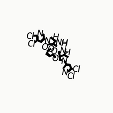 O=C(/C=C\C(=O)O[C@]12CN[C@@H]1CN(c1cnc(Cl)c(Cl)c1)C2)O[C@]12CN[C@@H]1CN(c1cnc(Cl)c(Cl)c1)C2